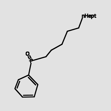 CCCCCCCCCCCC[P](=O)c1ccccc1